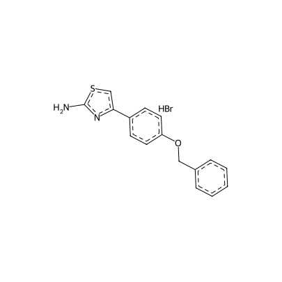 Br.Nc1nc(-c2ccc(OCc3ccccc3)cc2)cs1